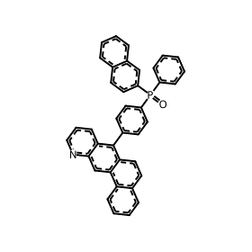 O=P(c1ccccc1)(c1ccc(-c2c3cccnc3cc3c2ccc2ccccc23)cc1)c1ccc2ccccc2c1